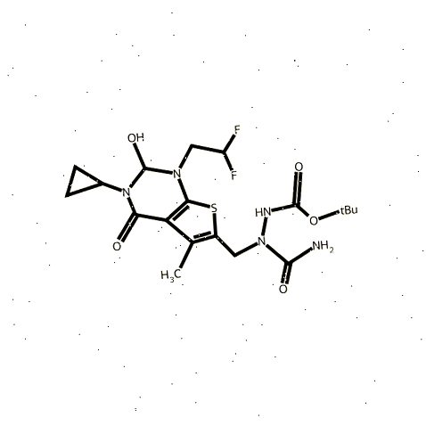 Cc1c(CN(NC(=O)OC(C)(C)C)C(N)=O)sc2c1C(=O)N(C1CC1)C(O)N2CC(F)F